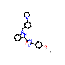 FC(F)(F)Oc1ccc(-c2noc(-c3nn(Cc4cccc(N5CCCC5)c4)c4ccccc34)n2)cc1